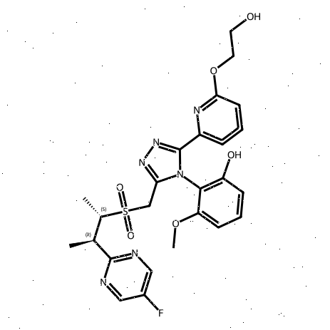 COc1cccc(O)c1-n1c(CS(=O)(=O)[C@@H](C)[C@H](C)c2ncc(F)cn2)nnc1C1=C=C=CC(OCCO)=N1